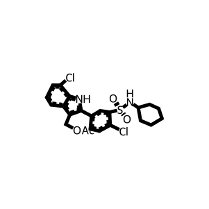 CC(=O)OCc1c(-c2ccc(Cl)c(S(=O)(=O)NC3CCCCC3)c2)[nH]c2c(Cl)cccc12